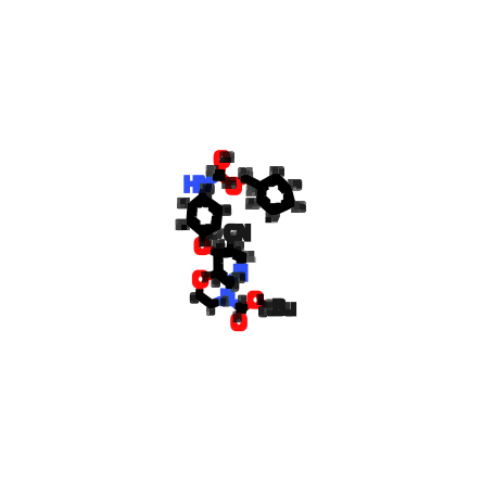 CC(C)(C)OC(=O)N1CCOc2c1ncc(C#N)c2Oc1ccc(NC(=O)OCc2ccccc2)cc1